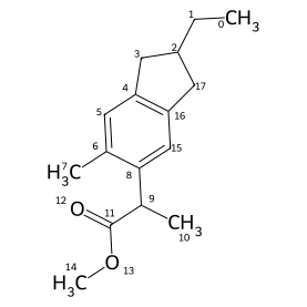 CCC1Cc2cc(C)c(C(C)C(=O)OC)cc2C1